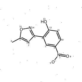 Cc1nc(-c2cc([N+](=O)[O-])ccc2O)no1